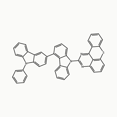 c1ccc(-n2c3ccccc3c3cc(-c4cccc5c4c4ccccc4n5-c4nc5c6c(cccc6n4)Sc4ccccc4-5)ccc32)cc1